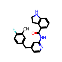 N#Cc1cc(Cc2ccnc(NC(=O)c3cccc4c3CCN4)c2)ccc1F